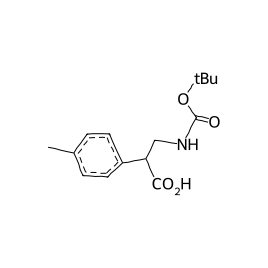 Cc1ccc(C(CNC(=O)OC(C)(C)C)C(=O)O)cc1